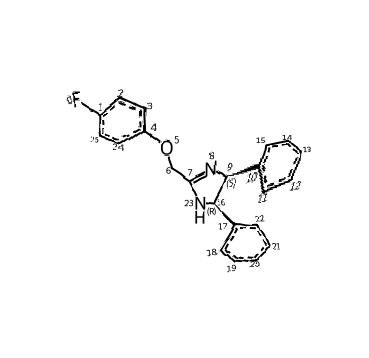 Fc1ccc(OCC2=N[C@@H](c3ccccc3)[C@@H](c3ccccc3)N2)cc1